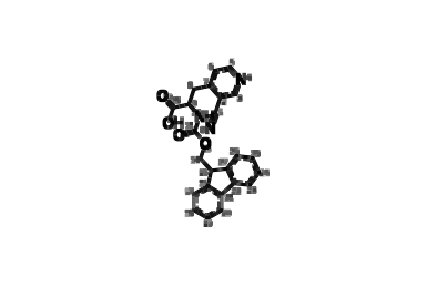 N#Cc1cnccc1CC(NC(=O)OCC1c2ccccc2-c2ccccc21)C(=O)O